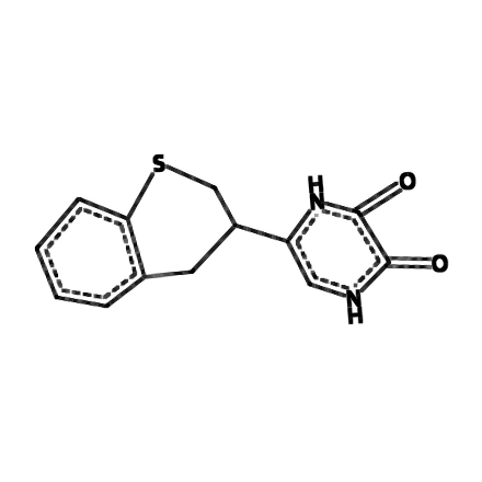 O=c1[nH]cc(C2CSc3ccccc3C2)[nH]c1=O